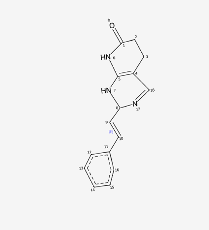 O=C1CCC2=C(N1)NC(/C=C/c1ccccc1)N=C2